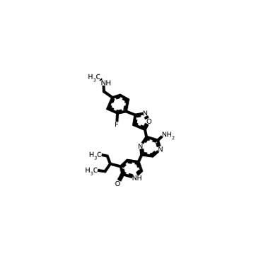 CCC(CC)c1cc(-c2cnc(N)c(-c3cc(-c4ccc(CNC)cc4F)no3)n2)c[nH]c1=O